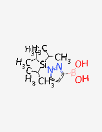 CC(C)[Si](C(C)C)(C(C)C)n1ccc(B(O)O)n1